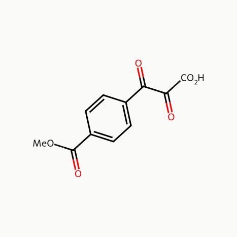 COC(=O)c1ccc(C(=O)C(=O)C(=O)O)cc1